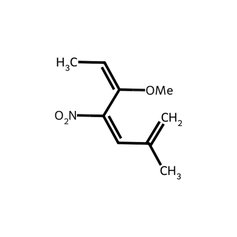 C=C(C)/C=C(\C(=C/C)OC)[N+](=O)[O-]